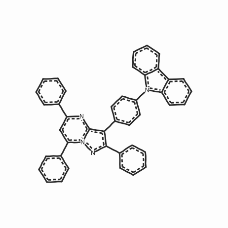 c1ccc(-c2cc(-c3ccccc3)n3nc(-c4ccccc4)c(-c4ccc(-n5c6ccccc6c6ccccc65)cc4)c3n2)cc1